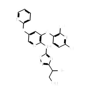 Cc1ccc(Oc2cc(Sc3ccccn3)cnc2Nc2nc(C(O)CO)ns2)c(C)n1